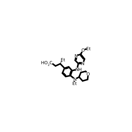 CCOc1cnc(Nc2cc([C@@H](CC)CC(=O)O)ccc2N(CC)C2CCOCC2)cn1